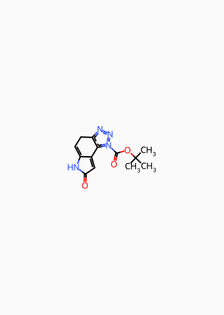 CC(C)(C)OC(=O)n1nnc2c1C1=CC(=O)NC1=CC2